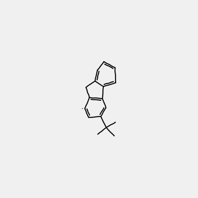 CC(C)(C)c1c[c]c2c(c1)-c1ccccc1C2